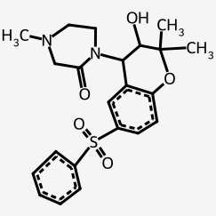 CN1CCN(C2c3cc(S(=O)(=O)c4ccccc4)ccc3OC(C)(C)C2O)C(=O)C1